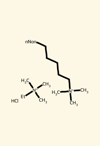 CCCCCCCCCCCCCC[N+](C)(C)C.CC[N+](C)(C)C.Cl